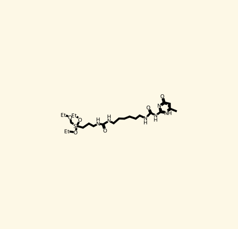 CCOC[Si](CCCNC(=O)NCCCCCCNC(=O)Nc1nc(=O)cc(C)[nH]1)(OCC)OCC